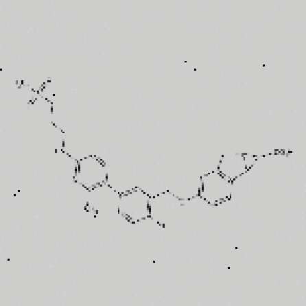 Cc1nc(NCCCS(C)(=O)=O)ccc1-c1ccc(F)c(COc2ccc3c(c2)CC2C(C(=O)O)C32)c1